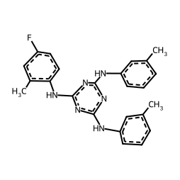 Cc1cccc(Nc2nc(Nc3cccc(C)c3)nc(Nc3ccc(F)cc3C)n2)c1